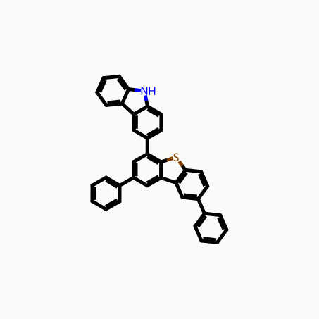 c1ccc(-c2ccc3sc4c(-c5ccc6[nH]c7ccccc7c6c5)cc(-c5ccccc5)cc4c3c2)cc1